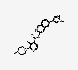 Cc1c(C(=O)Nc2cc3cc(-c4cnn(C)c4)ccc3cn2)ccnc1N1CCN(C)CC1